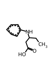 CCC(CC(=O)O)Nc1ccccc1